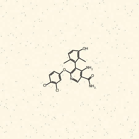 Cc1ccc(O)c(C)c1-c1c(Oc2ccc(Cl)c(Cl)c2)ncc(C(N)=O)c1N